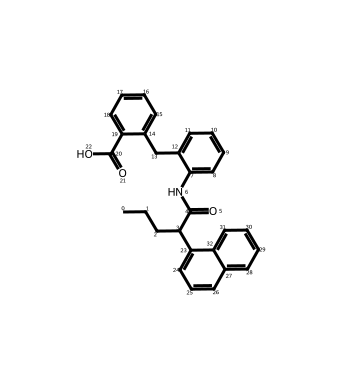 CCCC(C(=O)Nc1ccccc1Cc1ccccc1C(=O)O)c1cccc2ccccc12